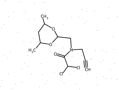 C#CCN(CC1OC(C)CC(C)O1)C(=O)C(Cl)Cl